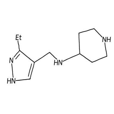 CCc1n[nH]cc1CNC1CCNCC1